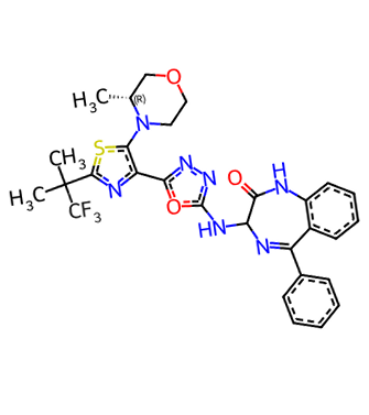 C[C@@H]1COCCN1c1sc(C(C)(C)C(F)(F)F)nc1-c1nnc(NC2N=C(c3ccccc3)c3ccccc3NC2=O)o1